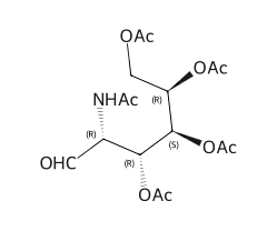 CC(=O)N[C@@H](C=O)[C@@H](OC(C)=O)[C@H](OC(C)=O)[C@@H](COC(C)=O)OC(C)=O